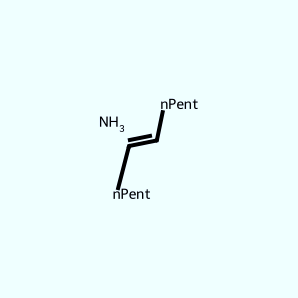 CCCCCC=CCCCCC.N